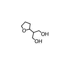 OCC(CO)C1CCCO1